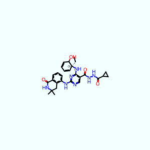 CC[C@]1(Nc2nc(Nc3cccc4c3CC(C)(C)NC4=O)ncc2C(=O)NNC(=O)C2CC2)C=CC=CC1O